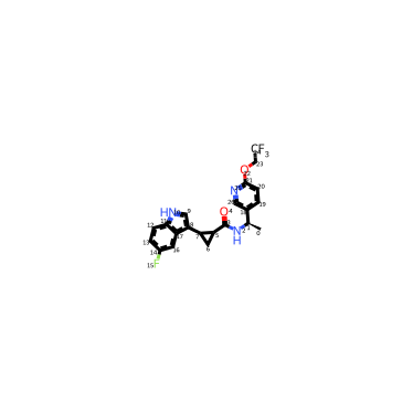 C[C@@H](NC(=O)C1CC1c1c[nH]c2ccc(F)cc12)c1ccc(OCC(F)(F)F)nc1